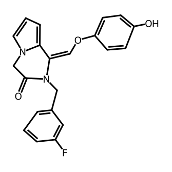 O=C1Cn2cccc2/C(=C\Oc2ccc(O)cc2)N1Cc1cccc(F)c1